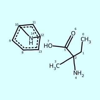 CCC(C)(N)C(=O)O.c1cc2cc(c1)N2